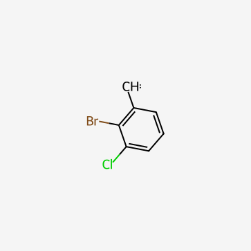 [CH]c1cccc(Cl)c1Br